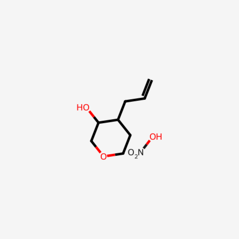 C=CCC1CCOCC1O.O=[N+]([O-])O